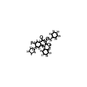 O=c1c2cc(F)c(N3CCCC3)cc2n(-c2ccccc2F)c(=O)n1OCc1ccccc1